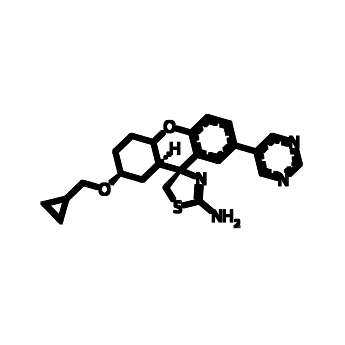 NC1=N[C@@]2(CS1)c1cc(-c3cncnc3)ccc1OC1CC[C@H](OCC3CC3)C[C@@H]12